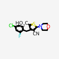 N#Cc1c(N2CCOCC2)sc(C(=O)O)c1Cc1ccc(Cl)cc1F